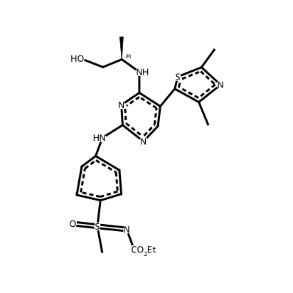 CCOC(=O)N=S(C)(=O)c1ccc(Nc2ncc(-c3sc(C)nc3C)c(N[C@H](C)CO)n2)cc1